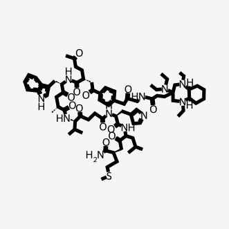 CCN1CC(CCC(=O)NCC(=O)Cc2ccc(C(=O)C[C@@H](CCC(C)=O)C(=O)N[C@@H](Cc3c[nH]c4ccccc34)C(=O)C[C@@H](C)C(=O)N[C@H](C(=O)CCC(=O)N[C@@H](CC3=CN=CC3)C(=O)NC(CC(C)C)C(=O)C[C@@H](CCSC)C(N)=O)C(C)C)cc2)(N(CC)CC)CN(CC)[C@@H]2CCCC[C@H]21